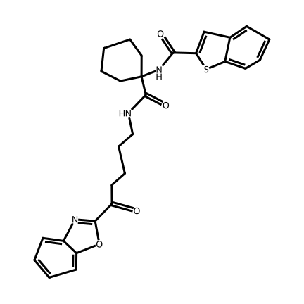 O=C(CCCCNC(=O)C1(NC(=O)c2cc3ccccc3s2)CCCCC1)c1nc2ccccc2o1